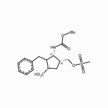 CC(C)(C)OC(=O)N[C@H]1C(Cc2ccccc2)N(C(=O)O)C[C@H]1COS(C)(=O)=O